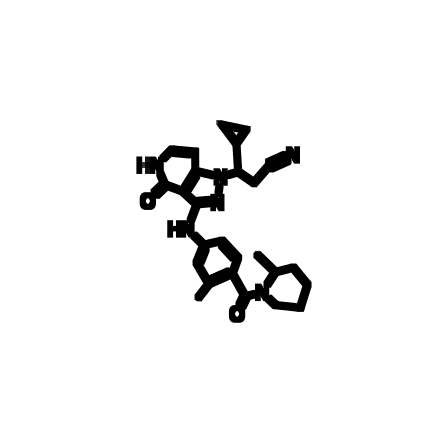 Cc1cc(Nc2nn(C(CC#N)C3CC3)c3cc[nH]c(=O)c23)ccc1C(=O)N1CCCCC1C